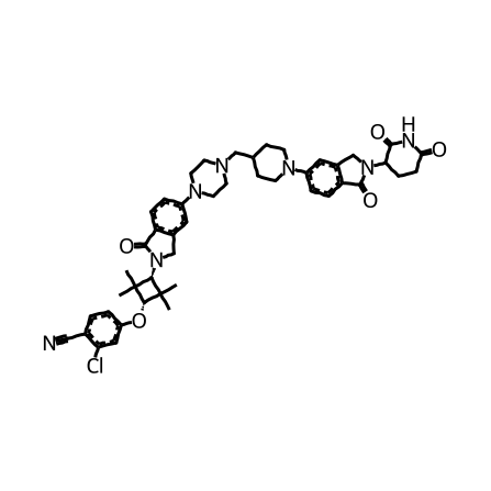 CC1(C)[C@H](Oc2ccc(C#N)c(Cl)c2)C(C)(C)[C@H]1N1Cc2cc(N3CCN(CC4CCN(c5ccc6c(c5)CN(C5CCC(=O)NC5=O)C6=O)CC4)CC3)ccc2C1=O